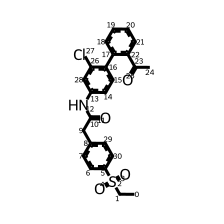 CCS(=O)(=O)c1ccc(CC(=O)Nc2ccc(-c3ccccc3C(C)=O)c(Cl)c2)cc1